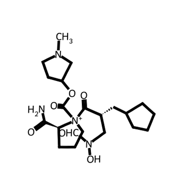 CN1CCC(OC(=O)[N+]2(C(=O)[C@H](CC3CCCC3)CN(O)C=O)CCC[C@H]2C(N)=O)C1